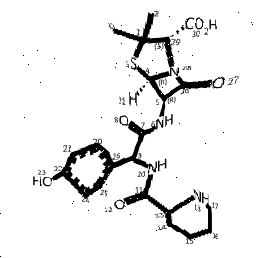 CC1(C)S[C@@H]2[C@H](NC(=O)C(NC(=O)C3CCCCN3)c3ccc(O)cc3)C(=O)N2[C@H]1C(=O)O